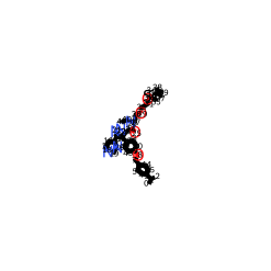 CC(C)c1ccc(COc2ccc(-c3c(-c4ccncn4)nn4c3C(=O)N(CCOCCO[Si](C)(C)C(C)(C)C)CC4)cc2)cc1